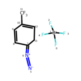 F[B-](F)(F)F.[N-]=[N+]=C1C=CC(C(F)(F)F)=CC1